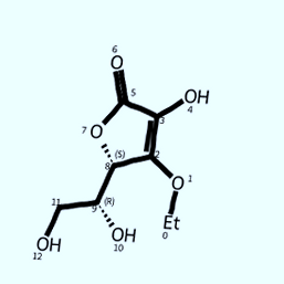 CCOC1=C(O)C(=O)O[C@H]1[C@H](O)CO